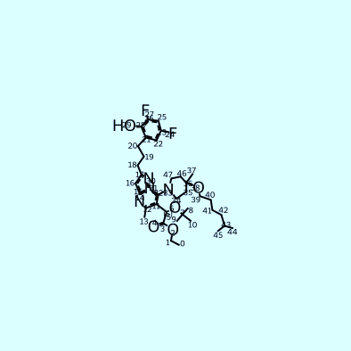 CCOC(=O)[C@@H](OC(C)(C)C)c1c(C)nc2cc(CCCc3cc(F)cc(F)c3O)nn2c1N1CCC(C)(OCCCCC(C)C)CC1